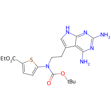 CCOC(=O)c1ccc(N(CCc2c[nH]c3nc(N)nc(N)c23)C(=O)OC(C)(C)C)s1